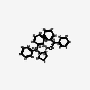 c1ccc(P(OC[C@@H]2CCCN2P(c2ccccc2)c2ccccc2)c2ccccc2)cc1